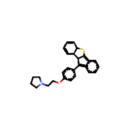 C1=CC2SC3=c4ccccc4=C(c4ccc(OCCN5CCCC5)cc4)C3C2C=C1